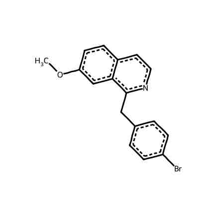 COc1ccc2ccnc(Cc3ccc(Br)cc3)c2c1